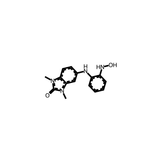 Cn1c(=O)n(C)c2cc(Nc3ccccc3NO)ccc21